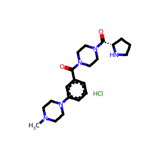 CN1CCN(c2cccc(C(=O)N3CCN(C(=O)[C@@H]4CCCN4)CC3)c2)CC1.Cl